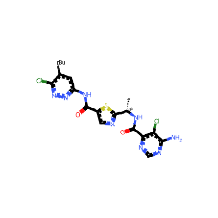 C[C@H](NC(=O)c1ncnc(N)c1Cl)c1ncc(C(=O)Nc2cc(C(C)(C)C)c(Cl)nn2)s1